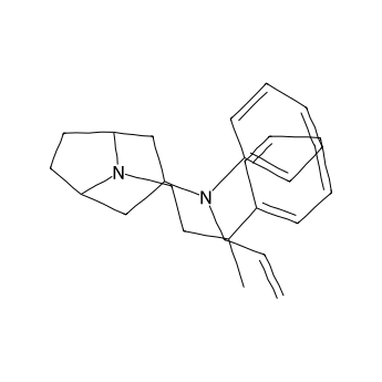 C=CCN(c1ccccc1)C1CC2CCC(C1)N2CCC(C)c1ccccc1